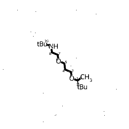 C[C@H](OCCCOCCNC(C)(C)C)C(C)(C)C